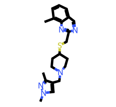 Cc1nn(C)cc1CN1CCC(SCc2ncc3cccc(C)c3n2)CC1